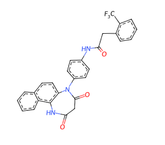 O=C(Cc1ccccc1C(F)(F)F)Nc1ccc(N2C(=O)CC(=O)Nc3c2ccc2ccccc32)cc1